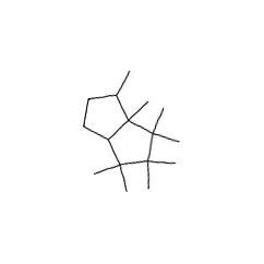 CC1CCC2C(C)(C)C(C)(C)C(C)(C)C12C